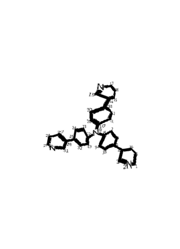 c1cncc(-c2ccc(N(c3ccc(-c4cccnc4)cc3)c3ccc(-c4cccnc4)cc3)cc2)c1